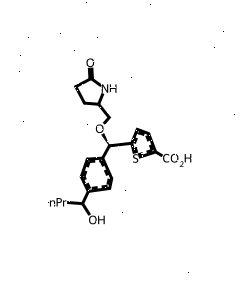 CCCC(O)c1ccc([C@@H](OCC2CCC(=O)N2)c2ccc(C(=O)O)s2)cc1